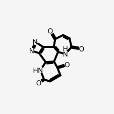 O=c1ccc(=O)c2c([nH]1)c1c(c3c(=O)ccc(=O)[nH]c32)N=N1